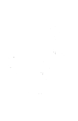 C1=CC(c2cccc3ccccc23)CC=C1N(c1ccc(-n2c3ccccc3c3c4ccccc4ccc32)cc1)c1cccc2oc3ccccc3c12